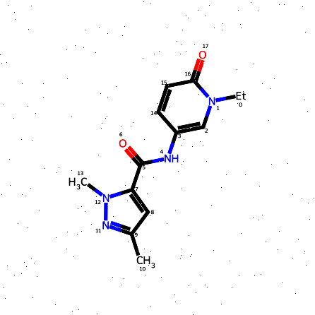 CCn1cc(NC(=O)c2cc(C)nn2C)ccc1=O